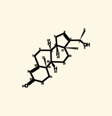 C[C@H](O)C1=CC[C@H]2[C@@H]3CCC4=CC(=O)CC[C@]4(C)[C@H]3CC[C@]12C